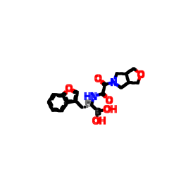 O=C(N[C@@H](Cc1coc2ccccc12)B(O)O)C(=O)N1CC2COCC2C1